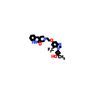 CC1(O)CC(n2cnc3cc(OCCN4CCC5(CC4)Cc4ccccc4NC5=O)cc(C(F)(F)F)c32)C1